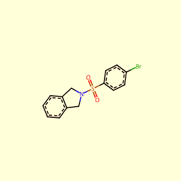 O=S(=O)(c1ccc(Br)cc1)N1Cc2ccccc2C1